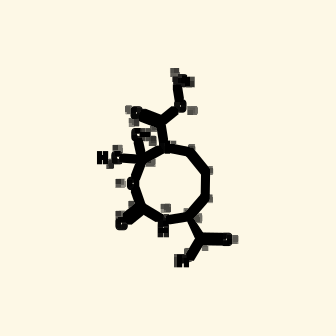 CC(C)C(=O)[C@@H]1CCCN(C(=O)OC(C)(C)C)C(C)(C)OC(=O)N1